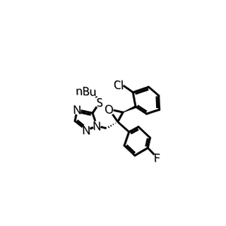 CCCCSc1ncnn1C[C@]1(c2ccc(F)cc2)O[C@H]1c1ccccc1Cl